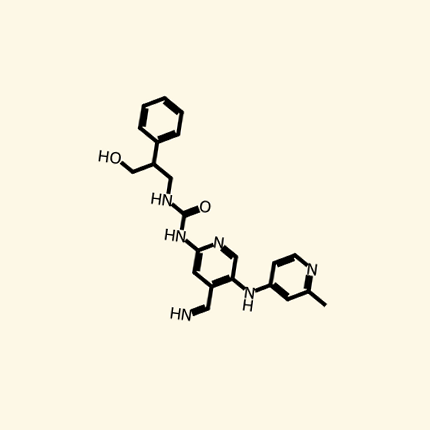 Cc1cc(Nc2cnc(NC(=O)NCC(CO)c3ccccc3)cc2C=N)ccn1